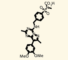 COc1ccc(-c2c(C)nn3c(NCc4ccc(S(=O)(=O)N(C)C(=O)O)cc4)nc(C)nc23)cc1OC